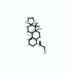 CC1(C)[C@@H]2CC[C@@]3(/C=C/CCl)CCCC=C3[C@@]2(C)CCC12OCCO2